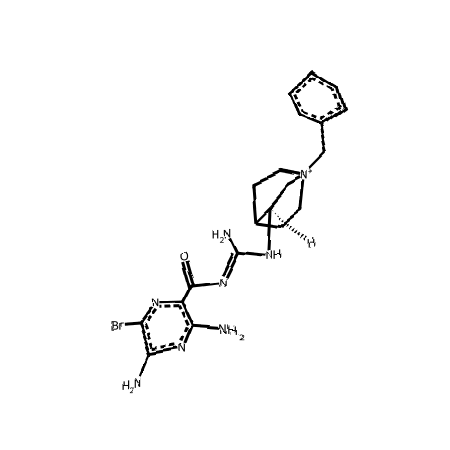 N/C(=N\C(=O)c1nc(Br)c(N)nc1N)N[C@@H]1C[N+]2(Cc3ccccc3)CCC1CC2